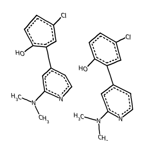 CN(C)c1cc(-c2cc(Cl)ccc2O)ccn1.CN(C)c1cc(-c2cc(Cl)ccc2O)ccn1